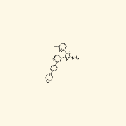 Cc1cccc(-c2sc(N)nc2-c2ccnc(-c3ccc(N4CCOCC4)cc3)c2)n1